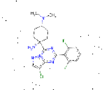 CN(C)C1CCC(N)(c2nc(-c3c(F)cccc3F)nc3c(Cl)cnn23)CC1